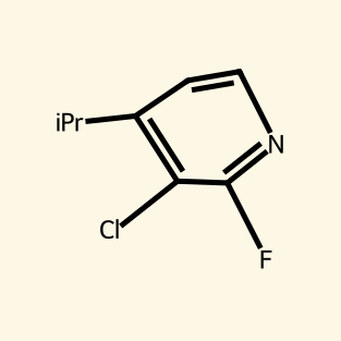 CC(C)c1ccnc(F)c1Cl